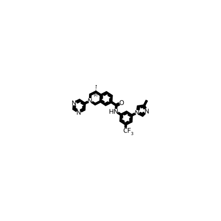 Cc1cn(-c2cc(NC(=O)c3ccc4c(c3)CN(c3cncnc3)C[C@@H]4C)cc(C(F)(F)F)c2)cn1